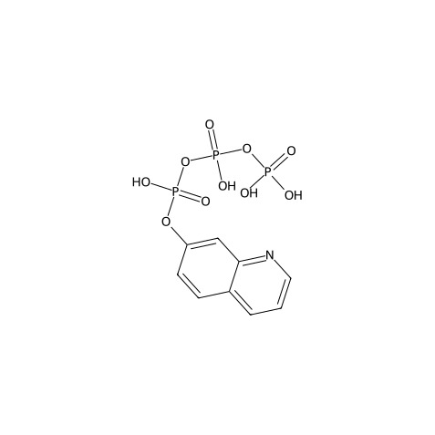 O=P(O)(O)OP(=O)(O)OP(=O)(O)Oc1ccc2cccnc2c1